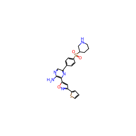 Nc1ncc(-c2ccc(S(=O)(=O)C3CCCNC3)cc2)nc1-c1cc(-c2cccs2)no1